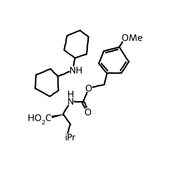 C1CCC(NC2CCCCC2)CC1.COc1ccc(COC(=O)N[C@@H](CC(C)C)C(=O)O)cc1